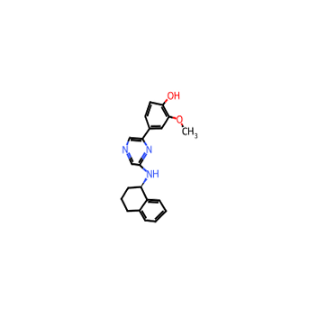 COc1cc(-c2cncc(N[C@@H]3CCCc4ccccc43)n2)ccc1O